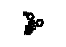 O=P([O-])([O-])[O-].[Na+].[Na+].[Na+].c1ccc(Oc2ccccc2)cc1